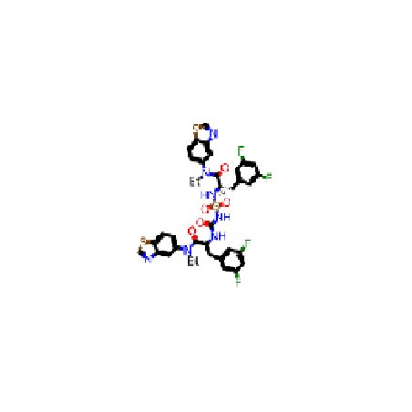 CCN(C(=O)C(Cc1cc(F)cc(F)c1)NC(=O)NS(=O)(=O)N[C@@H](Cc1cc(F)cc(F)c1)C(=O)N(CC)c1ccc2scnc2c1)c1ccc2scnc2c1